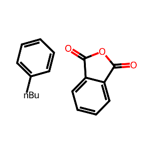 CCCCc1ccccc1.O=C1OC(=O)c2ccccc21